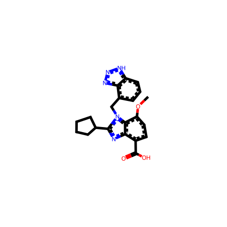 COc1ccc(C(=O)O)c2nc(C3CCCC3)n(Cc3cccc4[nH]nnc34)c12